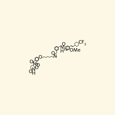 COc1cnc(C(=O)NCc2cccc(CC(=O)N(C)CCCCCCCOc3ccc4c(c3)C(=O)N(C3CCC(=O)NC3=O)C4=O)c2)cc1/C=C/C1CCC(C(F)(F)F)CC1